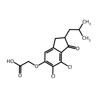 CC(C)CC1Cc2cc(OCC(=O)O)c(Cl)c(Cl)c2C1=O